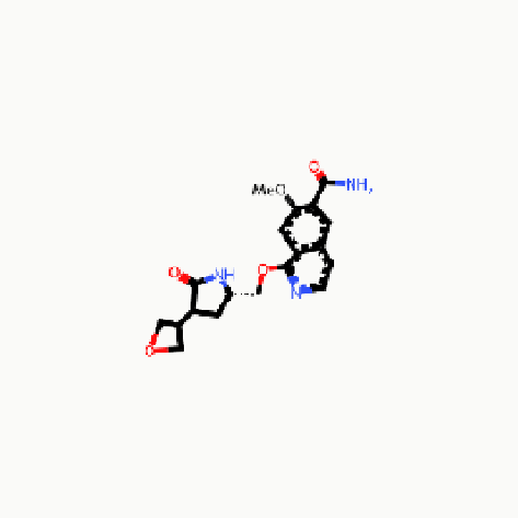 COc1cc2c(OC[C@@H]3CC(C4COC4)C(=O)N3)nccc2cc1C(N)=O